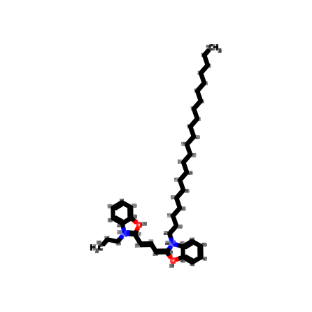 CCCCCCCCCCCCCCCCCCCCCCN1C(=CC=Cc2oc3ccccc3[n+]2CCC)Oc2ccccc21